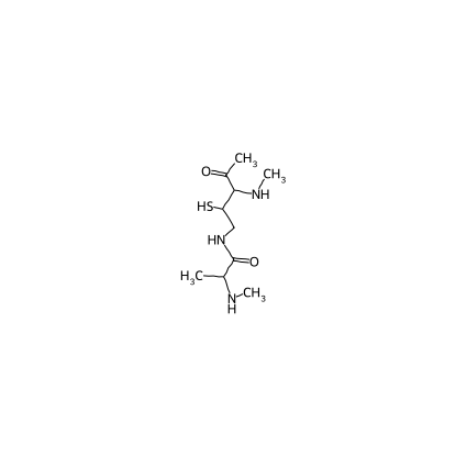 CNC(C)C(=O)NCC(S)C(NC)C(C)=O